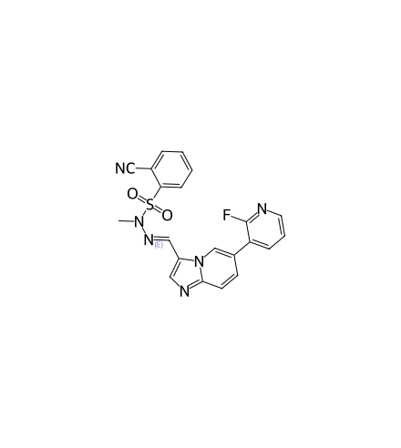 CN(/N=C/c1cnc2ccc(-c3cccnc3F)cn12)S(=O)(=O)c1ccccc1C#N